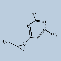 Cc1nc(C)nc(N2CC2C)n1